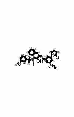 CCN(C)c1cc(C(=O)N[C@@H](Cc2ccccc2)[C@H](O)CNC(C)(C)c2cccc(OC)c2)cc(N2CCCC2=O)c1